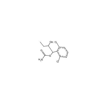 CCC(O)C(OC(N)=O)c1c(Cl)cccc1Cl